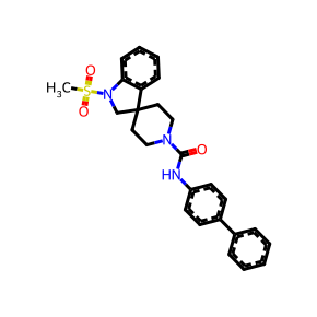 CS(=O)(=O)N1CC2(CCN(C(=O)Nc3ccc(-c4ccccc4)cc3)CC2)c2ccccc21